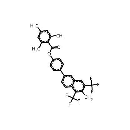 Cc1cc(C)c(C(=O)Oc2ccc(-c3ccc4c(C(F)(F)F)c(C)c(C(F)(F)F)cc4c3)cc2)c(C)c1